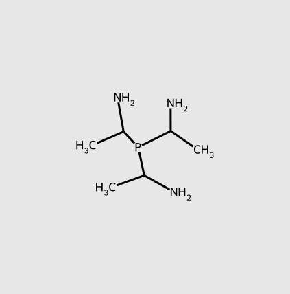 CC(N)P(C(C)N)C(C)N